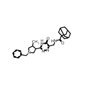 CC1CN(Cc2ccccc2)CC1c1nnc(CNC(=O)C23CC4CC(CC(C4)C2)C3)c(=O)[nH]1